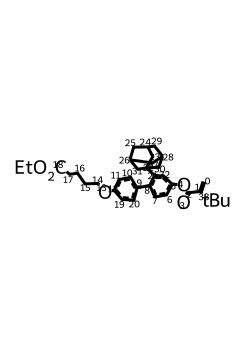 C=C(C(=O)Oc1ccc(-c2ccc(OCCCCC(=O)OCC)cc2)c(C23CC4CC(CC(C4)C2)C3)c1)C(C)(C)C